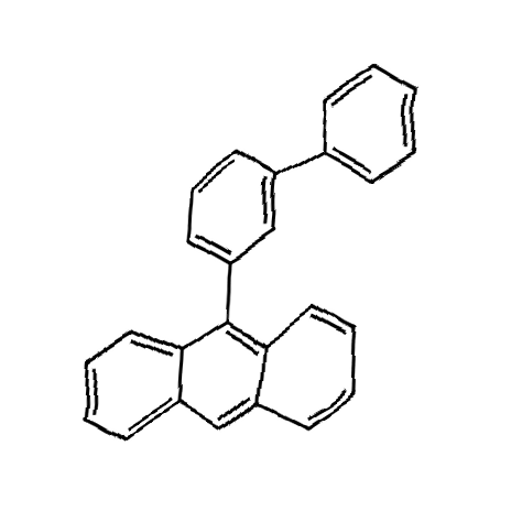 c1ccc(-c2cccc(-c3c4ccccc4cc4ccccc34)c2)cc1